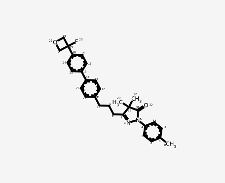 Cc1ccc(N2N=C(CCCc3ccc(-c4ccc(C5(F)COC5)cc4)cc3)C(C)(C)C2=O)cc1